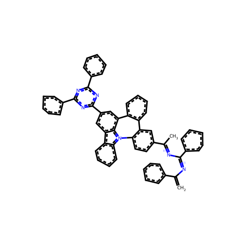 C=C(/N=C(\N=C(/C)c1ccc2c(c1)-c1ccccc1-c1cc(-c3nc(-c4ccccc4)nc(-c4ccccc4)n3)cc3c4ccccc4n-2c13)c1ccccc1)c1ccccc1